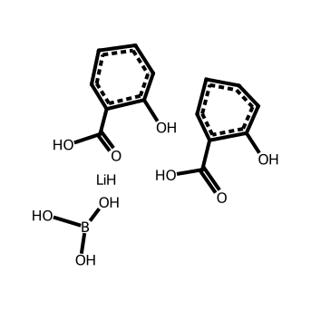 O=C(O)c1ccccc1O.O=C(O)c1ccccc1O.OB(O)O.[LiH]